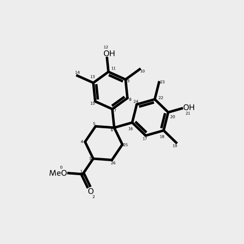 COC(=O)C1CCC(c2cc(C)c(O)c(C)c2)(c2cc(C)c(O)c(C)c2)CC1